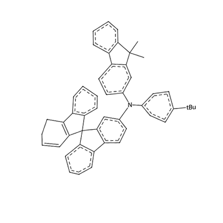 CC(C)(C)c1ccc(N(c2ccc3c(c2)C(C)(C)c2ccccc2-3)c2ccc3c(c2)C2(C4=C(CCC=C4)c4ccccc42)c2ccccc2-3)cc1